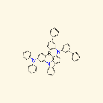 c1ccc(-c2cccc(N3c4cc(-c5ccccc5)ccc4B4c5ccc(N(c6ccccc6)c6ccccc6)cc5-n5c6ccccc6c6ccc3c4c65)c2)cc1